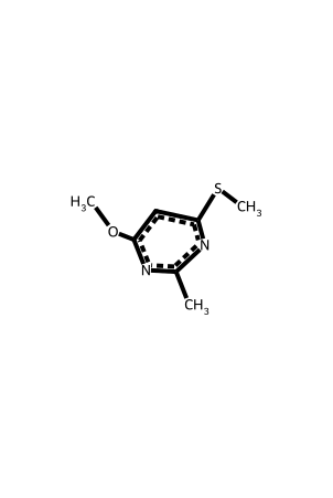 COc1cc(SC)nc(C)n1